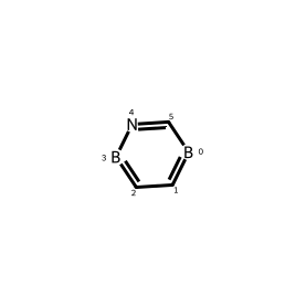 b1ccbnc1